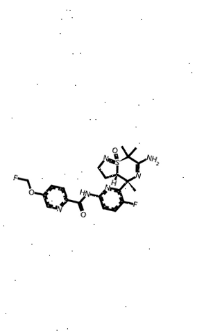 CC1(C)C(N)=N[C@](C)(c2nc(NC(=O)c3ccc(OCF)cn3)ccc2F)[C@@H]2CCN=[S@]21=O